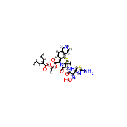 CCCC(CCC)C(=O)OC(C)OC(=O)C1=C(/C=C\c2cccnc2)CS[C@@H]2[C@H](NC(=O)/C(=N\O)c3csc(N)n3)C(=O)N12